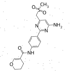 CS(=O)(=O)Cc1cc(N)nc(-c2ccc(NC(=O)C3=COCCC3)cc2)n1